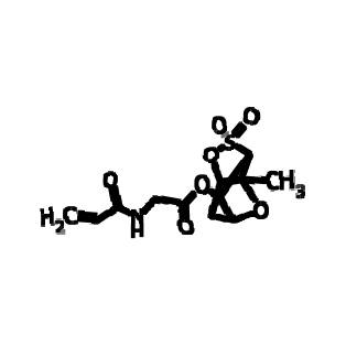 C=CC(=O)NCC(=O)OC1C2CC3OS(=O)(=O)C1C3(C)O2